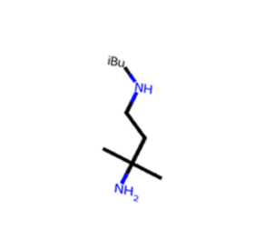 CCC(C)NCCC(C)(C)N